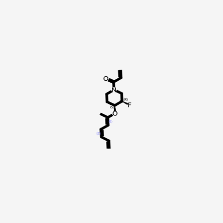 C=C/C=C\C=C(/C)O[C@H]1CCN(C(=O)C=C)C[C@H]1F